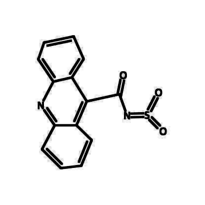 O=C(N=S(=O)=O)c1c2ccccc2nc2ccccc12